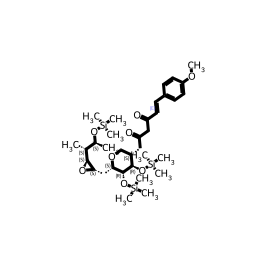 COc1ccc(/C=C/C(=O)CC(=O)C[C@H]2CO[C@@H](C[C@@H]3O[C@H]3[C@H](C)[C@H](C)O[Si](C)(C)C)[C@@H](O[Si](C)(C)C)[C@@H]2O[Si](C)(C)C)cc1